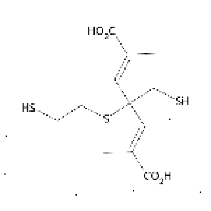 CC(=CC(C=C(C)C(=O)O)(CS)SCCS)C(=O)O